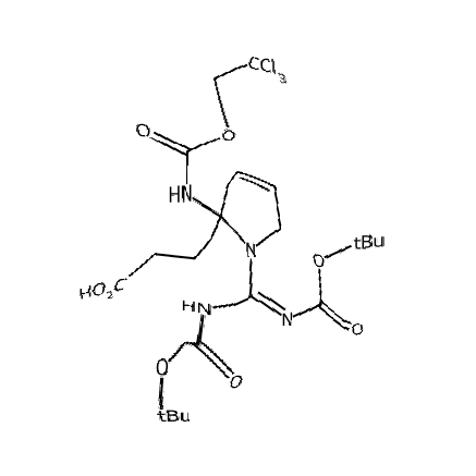 CC(C)(C)OC(=O)N=C(NC(=O)OC(C)(C)C)N1CC=CC1(CCC(=O)O)NC(=O)OCC(Cl)(Cl)Cl